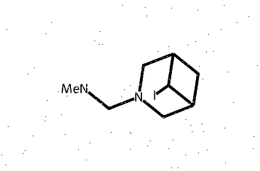 CNCN1CC2CC(C1)C2I